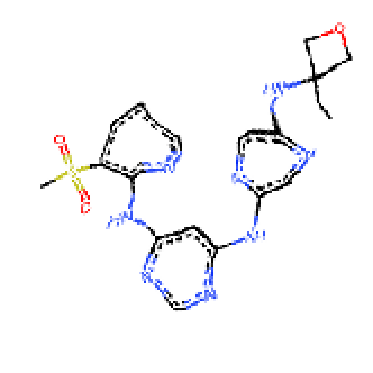 CC1(Nc2cnc(Nc3cc(Nc4ncccc4S(C)(=O)=O)ncn3)cn2)COC1